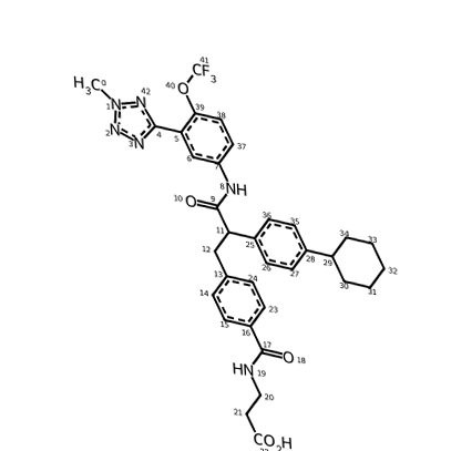 Cn1nnc(-c2cc(NC(=O)C(Cc3ccc(C(=O)NCCC(=O)O)cc3)c3ccc(C4CCCCC4)cc3)ccc2OC(F)(F)F)n1